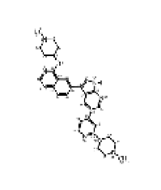 CN1CCC(Oc2ncnc3ccc(-c4c[nH]c5ncc(-c6ccnc(N7CCN(C)CC7)c6)cc45)cc23)CC1